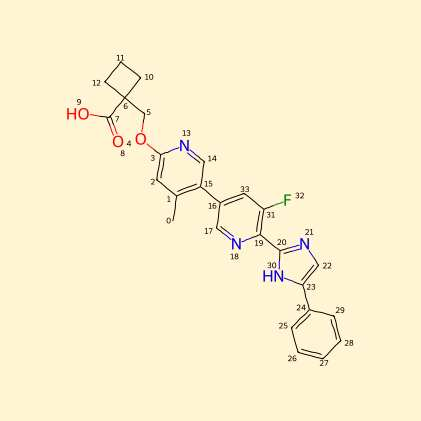 Cc1cc(OCC2(C(=O)O)CCC2)ncc1-c1cnc(-c2ncc(-c3ccccc3)[nH]2)c(F)c1